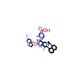 C#Cc1cccc2cccc(-c3ncc4c(N5CCN(C(=O)O)C[C@@H]5C)nc(OC[C@@]56CCCN5C[C@H](F)C6)nc4c3F)c12